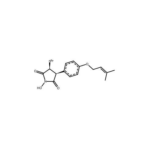 CCC[C@@H]1C(=O)N(O)C(=O)[C@@H]1c1ccc(OCC=C(C)C)cc1